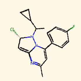 CC1=NC2=C[C@H](Cl)N(C(C)C3CC3)N2C(c2ccc(F)cc2)=C1